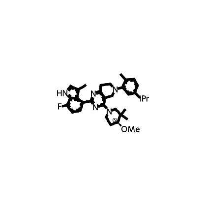 CO[C@H]1CCN(c2nc(-c3ccc(F)c4[nH]cc(C)c34)nc3c2CN(c2cc(C(C)C)ccc2C)CC3)CC1(C)C